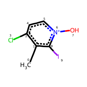 Cc1c(Cl)cc[n+](O)c1I